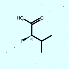 CC(C)[C@@H](I)C(=O)O